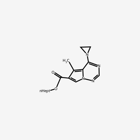 CCCCCCCOC(=O)c1cn2ncnc(N3CC3)c2c1C